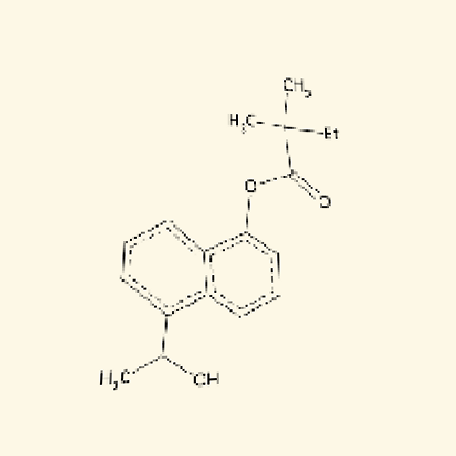 CCC(C)(C)C(=O)Oc1cccc2c(C(C)O)cccc12